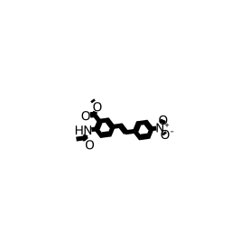 COC(=O)c1cc(C=Cc2ccc([N+](=O)[O-])cc2)ccc1NC(C)=O